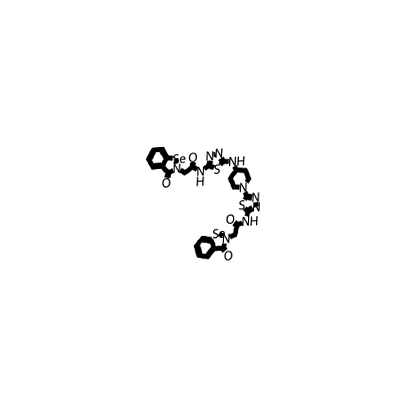 O=C(Cn1[se]c2ccccc2c1=O)Nc1nnc(NC2CCN(c3nnc(NC(=O)Cn4[se]c5ccccc5c4=O)s3)CC2)s1